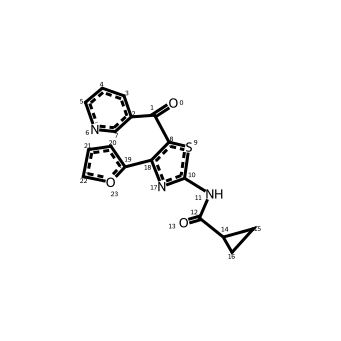 O=C(c1cccnc1)c1sc(NC(=O)C2CC2)nc1-c1ccco1